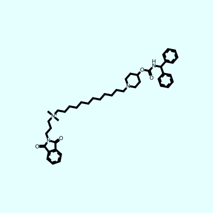 C[N+](C)(CCCCCCCCCCCCN1CCC(OC(=O)NC(c2ccccc2)c2ccccc2)CC1)CCCN1C(=O)c2ccccc2C1=O